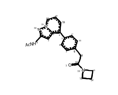 CC(=O)Nc1cc2c(-c3ccc(CC(=O)N4CCC4)cc3)cccn2n1